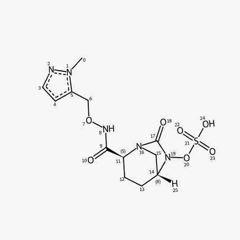 Cn1nccc1CONC(=O)[C@@H]1CC[C@@H]2CN1C(=O)N2OS(=O)(=O)O